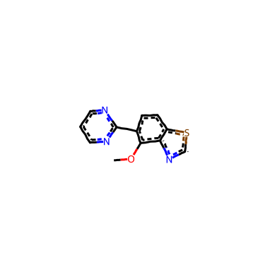 COc1c(-c2ncccn2)ccc2s[c]nc12